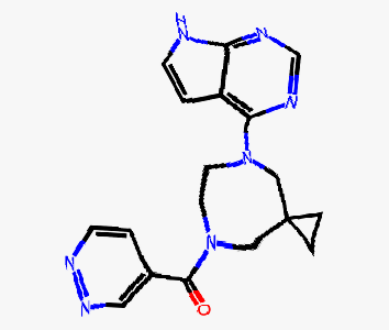 O=C(c1ccnnc1)N1CCN(c2ncnc3[nH]ccc23)CC2(CC2)C1